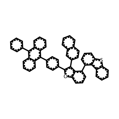 c1ccc(-c2c3ccccc3c(-c3ccc(-c4oc5cccc(-c6cccc7sc8ccccc8c67)c5c4-c4ccc5ccccc5c4)cc3)c3ccccc23)cc1